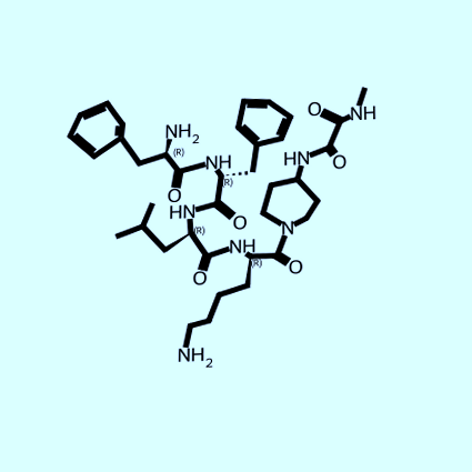 CNC(=O)C(=O)NC1CCN(C(=O)[C@@H](CCCCN)NC(=O)[C@@H](CC(C)C)NC(=O)[C@@H](Cc2ccccc2)NC(=O)[C@H](N)Cc2ccccc2)CC1